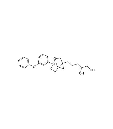 OCC(O)CCCC12CO[PH]3(c4cccc(Oc5ccccc5)c4)CCC13C2